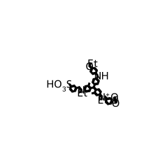 CCOc1ccc(Nc2ccc(/C(=C3C=C/C(=[N+](/CC)Cc4cccc(S(C)(=O)=O)c4)C=C\3C)c3ccc(N(CC)Cc4cccc(S(=O)(=O)O)c4)cc3C)cc2)cc1